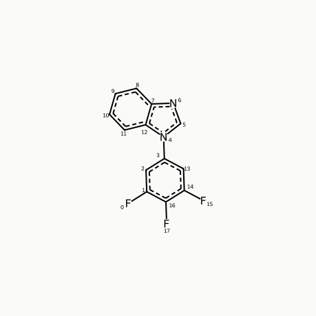 Fc1cc(-n2cnc3ccccc32)cc(F)c1F